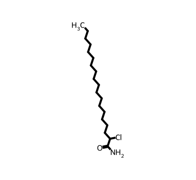 CCCCCCCCCCCCCCCCCC(Cl)C(N)=O